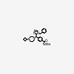 CNC(=O)c1ccc(C(c2nncn2Cc2ccccc2)N2CCCN(C3CCC3)CC2)cc1